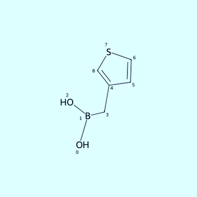 OB(O)Cc1ccsc1